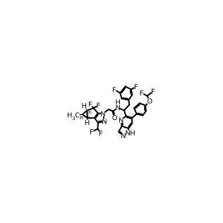 C[C@@H]1[C@@H]2c3c(C(F)F)nn(CC(=O)NC(Cc4cc(F)cc(F)c4)c4nc5cn[nH]c5cc4-c4ccc(OC(F)F)cc4)c3C(F)(F)[C@H]12